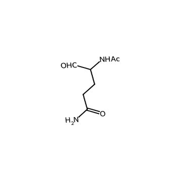 CC(=O)NC(C=O)CCC(N)=O